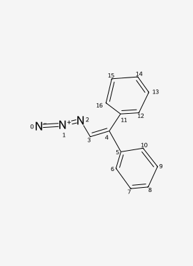 [N-]=[N+]=NC=C(c1ccccc1)c1ccccc1